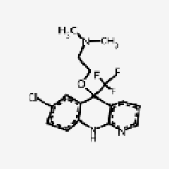 CN(C)CCOC1(C(F)(F)F)c2cc(Cl)ccc2Nc2ncccc21